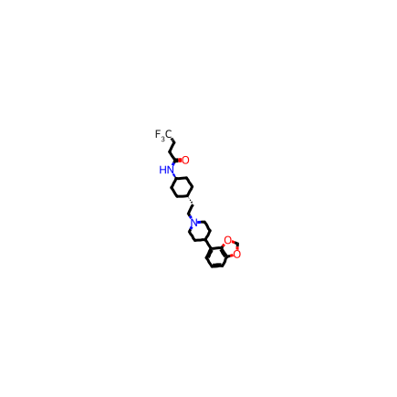 O=C(CCC(F)(F)F)N[C@H]1CC[C@H](CCN2CCC(c3cccc4c3OCO4)CC2)CC1